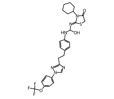 O=C1CS/C(=N\C(O)Nc2ccc(CCc3ncn(-c4ccc(OC(F)(F)F)cc4)n3)cc2)N1C1CCCCC1